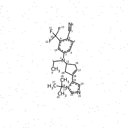 CCN(c1ccc(C#N)c(C(F)(F)F)c1)C1CC=C(c2cncn2C(C)(C)C)C1